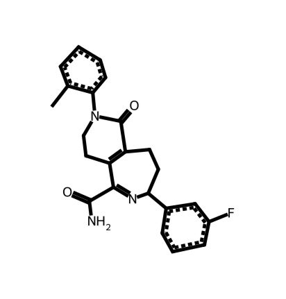 Cc1ccccc1N1CCC2=C(CCC(c3cccc(F)c3)N=C2C(N)=O)C1=O